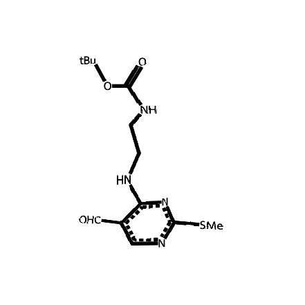 CSc1ncc(C=O)c(NCCNC(=O)OC(C)(C)C)n1